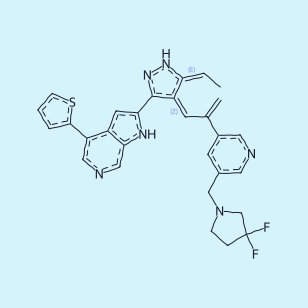 C=C(/C=c1/c(-c2cc3c(-c4cccs4)cncc3[nH]2)n[nH]/c1=C/C)c1cncc(CN2CCC(F)(F)C2)c1